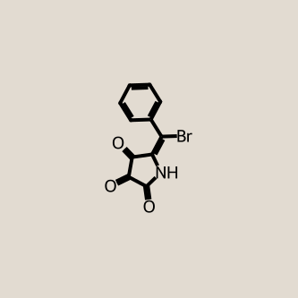 O=C1NC(=C(Br)c2ccccc2)C(=O)C1=O